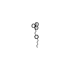 CCCCCc1ccc(CCCOC(=O)OC)cc1